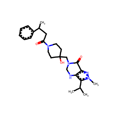 CC(C)c1c2c(nn1C)C(=O)N(CC1(O)CCN(C(=O)CC(C)c3ccccc3)CC1)CN2